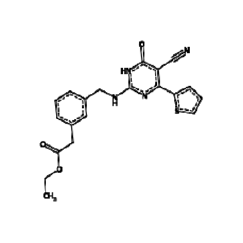 CCOC(=O)Cc1cccc(CNc2nc(-c3cccs3)c(C#N)c(=O)[nH]2)c1